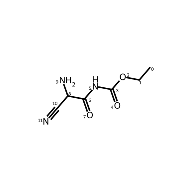 CCOC(=O)NC(=O)C(N)C#N